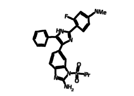 CNc1ccc(-c2nc(-c3ccc4nc(N)n(S(=O)(=O)C(C)C)c4c3)c(-c3ccccc3)[nH]2)c(F)c1